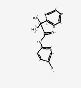 CC(N)(C(=O)Oc1ccc(F)cc1)c1ccccc1